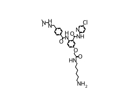 CN(C)CNCc1ccc(C(=O)Nc2ccc(OCC(=O)NCCCCCCN)cc2C(=O)Nc2ccc(Cl)cn2)cc1